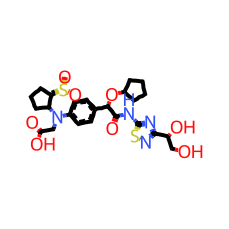 O=C(O)CN(c1ccc(C(OC2CCCC2)C(=O)Nc2nc(C(O)CO)ns2)cc1)C1CCCC1=S(=O)=O